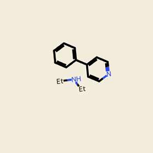 CCNCC.c1ccc(-c2ccncc2)cc1